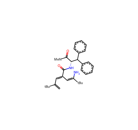 C=C(/C=C(\C=C(/N)C(C)(C)C)C(=O)N[C@H](C(=O)NC)C(c1ccccc1)c1ccccc1)C(C)(C)C